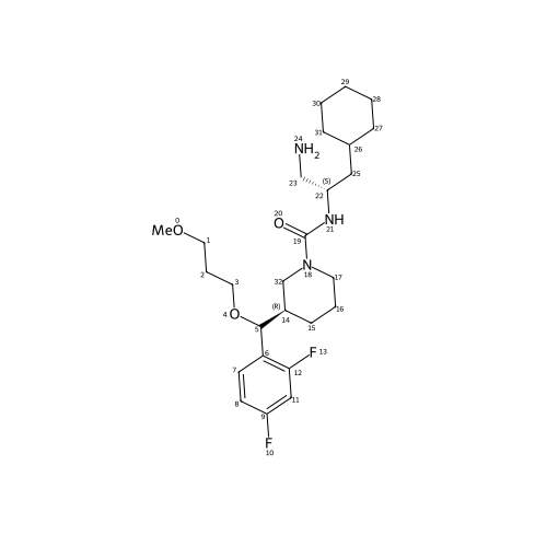 COCCCOC(c1ccc(F)cc1F)[C@@H]1CCCN(C(=O)N[C@H](CN)CC2CCCCC2)C1